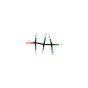 OC(F)(F)C(F)(F)C(F)(F)Br